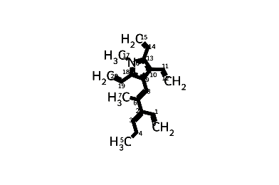 C=CC(=C\CC)/C(C)=C/c1c(C=C)c(C=C)n(C)c1C=C